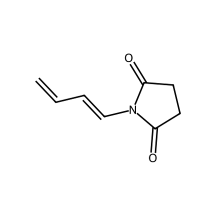 C=CC=CN1C(=O)CCC1=O